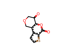 O=C1COCc2c1oc(=O)c1sccc21